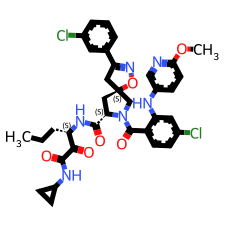 CCC[C@H](NC(=O)[C@@H]1C[C@]2(CC(c3cccc(Cl)c3)=NO2)CN1C(=O)c1ccc(Cl)cc1Nc1ccc(OC)nc1)C(=O)C(=O)NC1CC1